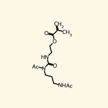 C=C(C)C(=O)OCCNC(=O)N(CCCNC(C)=O)C(C)=O